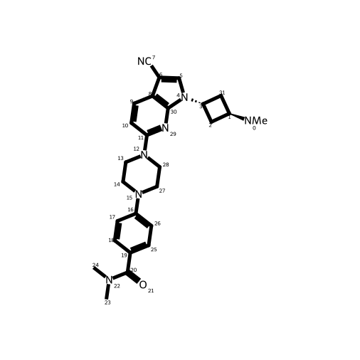 CN[C@H]1C[C@H](n2cc(C#N)c3ccc(N4CCN(c5ccc(C(=O)N(C)C)cc5)CC4)nc32)C1